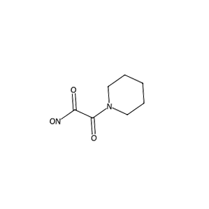 O=NC(=O)C(=O)N1CCCCC1